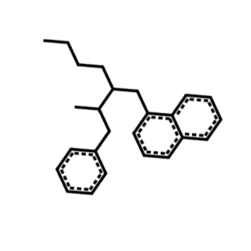 CCCCC(Cc1cccc2ccccc12)[C](C)Cc1ccccc1